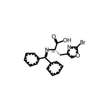 O=C(O)[C@H](Cc1coc(Br)n1)N=C(c1ccccc1)c1ccccc1